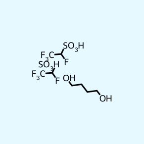 O=S(=O)(O)C(F)C(F)(F)F.O=S(=O)(O)C(F)C(F)(F)F.OCCCCO